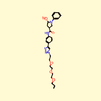 CCCOCCOCCOCCn1cc(-c2ccc(NC(=O)C3CC(O)N(c4ccccc4)C3)cc2)nn1